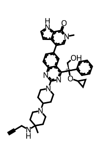 C#CCNC1(C)CCN(C2CCN(c3nc([C@@](CO)(OC4CC4)c4ccccc4)c4cc(-c5cn(C)c(=O)c6[nH]ccc56)ccc4n3)CC2)CC1